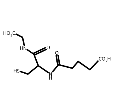 O=C(O)CCCC(=O)NC(CS)C(=O)NCC(=O)O